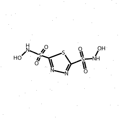 O=S(=O)(NO)c1nnc(S(=O)(=O)NO)s1